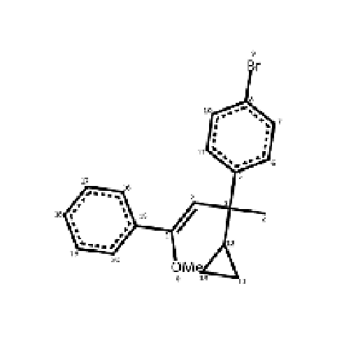 CO/C(=C\C(C)(c1ccc(Br)cc1)C1CC1)c1ccccc1